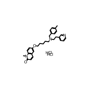 Cc1ccc(CN(CCCCCOc2ccc3c(ccc(=O)n3C)c2)CCc2cccnc2)cc1.Cl.Cl